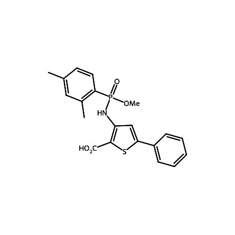 COP(=O)(Nc1cc(-c2ccccc2)sc1C(=O)O)c1ccc(C)cc1C